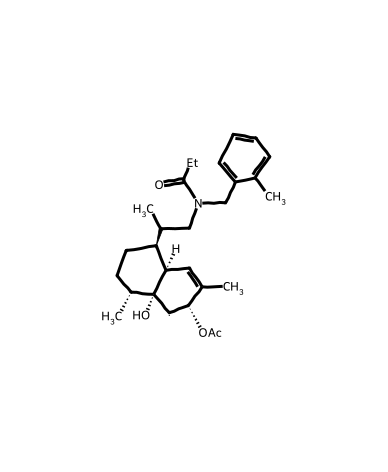 CCC(=O)N(Cc1ccccc1C)CC(C)[C@@H]1CC[C@@H](C)[C@]2(O)[CH][C@@H](OC(C)=O)C(C)=C[C@H]12